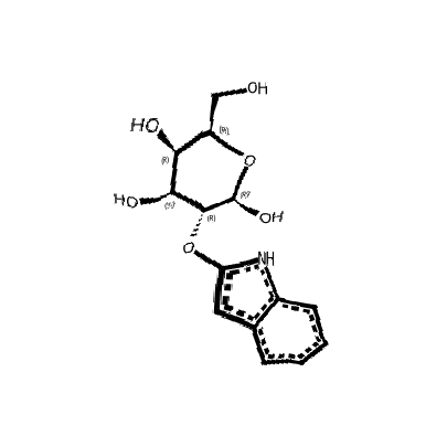 OC[C@H]1O[C@@H](O)[C@H](Oc2cc3ccccc3[nH]2)[C@@H](O)[C@H]1O